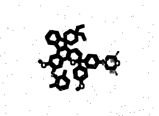 CCC1(CC)CCC2(CC1)c1ccccc1-c1c2c2c(c3cc(Sc4c(C)cccc4C)c(OC)cc13)OC(c1ccc(OC)cc1)(c1ccc(N3C[C@@H](C)O[C@@H](C)C3)cc1)C=C2